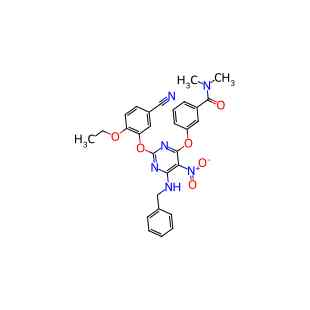 CCOc1ccc(C#N)cc1Oc1nc(NCc2ccccc2)c([N+](=O)[O-])c(Oc2cccc(C(=O)N(C)C)c2)n1